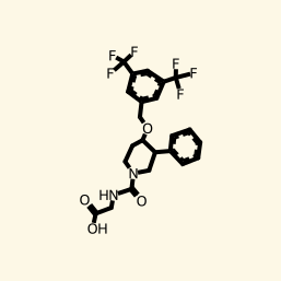 O=C(O)CNC(=O)N1CCC(OCc2cc(C(F)(F)F)cc(C(F)(F)F)c2)C(c2ccccc2)C1